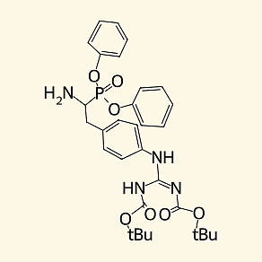 CC(C)(C)OC(=O)/N=C(\NC(=O)OC(C)(C)C)Nc1ccc(CC(N)P(=O)(Oc2ccccc2)Oc2ccccc2)cc1